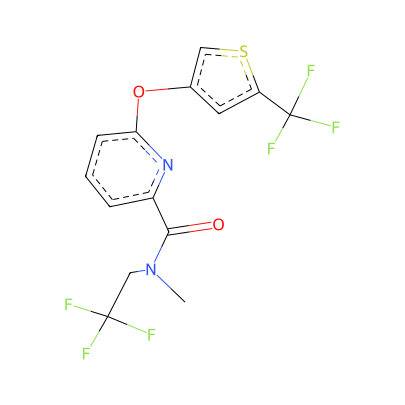 CN(CC(F)(F)F)C(=O)c1cccc(Oc2csc(C(F)(F)F)c2)n1